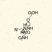 CC(=O)NCCNC(=O)C(NC(=O)CCCN(C)C)Nc1ccc(OCCCC(=O)O)cc1